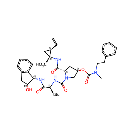 C=C[C@@H]1C[C@]1(NC(=O)[C@@H]1C[C@@H](OC(=O)N(C)CCc2ccccc2)CN1C(=O)N[C@H](C(=O)N[C@H]1c2ccccc2C[C@H]1O)C(C)(C)C)C(=O)O